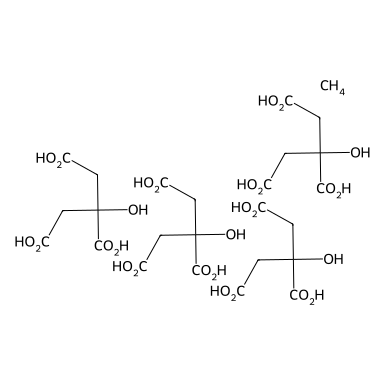 C.O=C(O)CC(O)(CC(=O)O)C(=O)O.O=C(O)CC(O)(CC(=O)O)C(=O)O.O=C(O)CC(O)(CC(=O)O)C(=O)O.O=C(O)CC(O)(CC(=O)O)C(=O)O